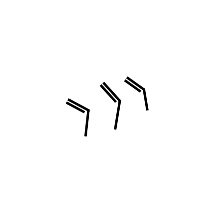 C=CC.C=CC.C=CC